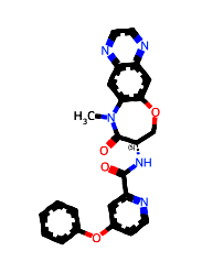 CN1C(=O)[C@@H](NC(=O)c2cc(Oc3ccccc3)ccn2)COc2cc3nccnc3cc21